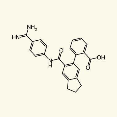 N=C(N)c1ccc(NC(=O)c2cc3c(cc2-c2ccccc2C(=O)O)CCC3)cc1